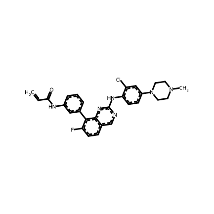 C=CC(=O)Nc1cccc(-c2c(F)ccc3cnc(Nc4ccc(N5CCN(C)CC5)cc4Cl)nc23)c1